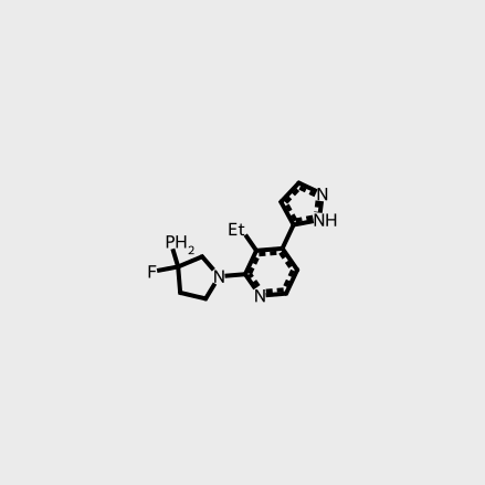 CCc1c(-c2ccn[nH]2)ccnc1N1CCC(F)(P)C1